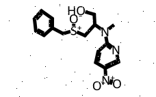 CN(c1ccc([N+](=O)[O-])cn1)C(CO)C[S+]([O-])Cc1ccccc1